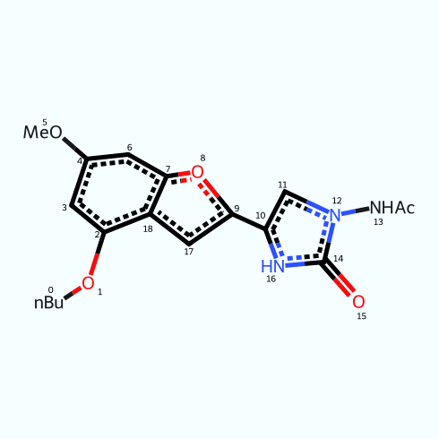 CCCCOc1cc(OC)cc2oc(-c3cn(NC(C)=O)c(=O)[nH]3)cc12